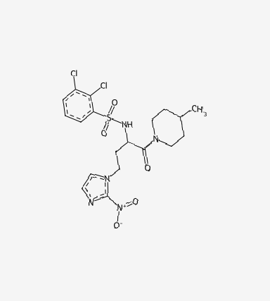 CC1CCN(C(=O)C(CCn2ccnc2[N+](=O)[O-])NS(=O)(=O)c2cccc(Cl)c2Cl)CC1